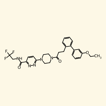 CCOc1cccc(-c2ccccc2CCC(=O)N2CCN(c3ccc(C(=O)NCC(F)(F)F)nn3)CC2)c1